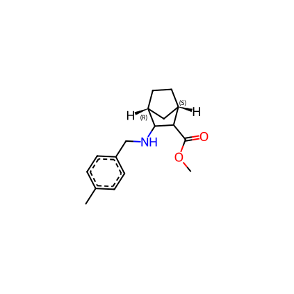 COC(=O)C1C(NCc2ccc(C)cc2)[C@@H]2CC[C@H]1C2